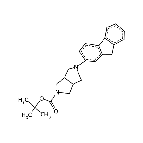 CC(C)(C)OC(=O)N1CC2CN(c3ccc4c(c3)Cc3ccccc3-4)CC2C1